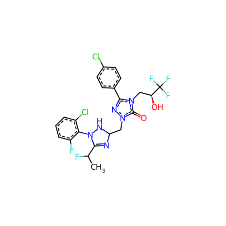 CC(F)C1=NC(Cn2nc(-c3ccc(Cl)cc3)n(C[C@H](O)C(F)(F)F)c2=O)NN1c1c(F)cccc1Cl